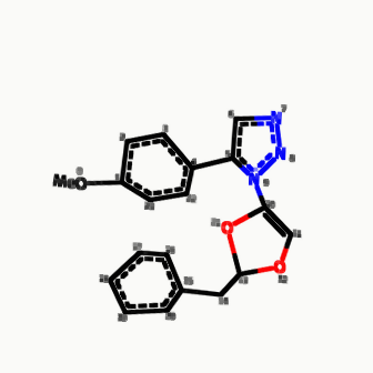 COc1ccc(-c2cnnn2C2=COC(Cc3ccccc3)O2)cc1